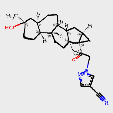 C[C@@]1(O)CC[C@H]2[C@H](CC[C@@H]3[C@@H]2CC[C@@]2(C)[C@H]3C[C@H]3C[C@]32C(=O)Cn2cc(C#N)cn2)C1